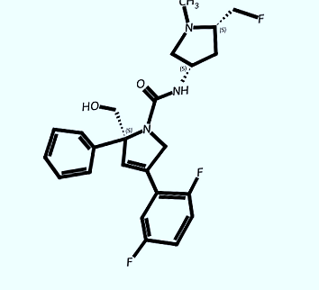 CN1C[C@@H](NC(=O)N2CC(c3cc(F)ccc3F)=C[C@@]2(CO)c2ccccc2)C[C@H]1CF